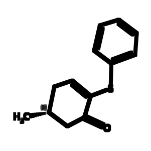 C[C@@H]1CC=C(Sc2ccccc2)C(=O)C1